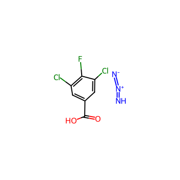 O=C(O)c1cc(Cl)c(F)c(Cl)c1.[N-]=[N+]=N